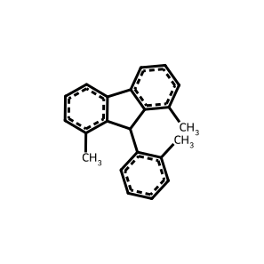 Cc1ccccc1C1c2c(C)cccc2-c2cccc(C)c21